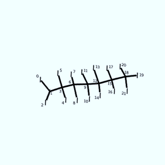 I[C](I)C(I)(I)C(I)(I)C(I)(I)C(I)(I)C(I)(I)C(I)(I)I